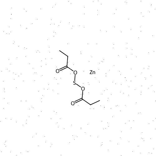 CCC(=O)OSOC(=O)CC.[Zn]